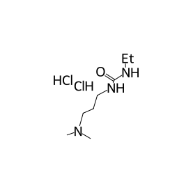 CCNC(=O)NCCCN(C)C.Cl.Cl